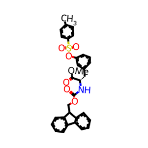 COC(=O)[C@H](Cc1cccc(OS(=O)(=O)c2ccc(C)cc2)c1)NC(=O)OCC1c2ccccc2-c2ccccc21